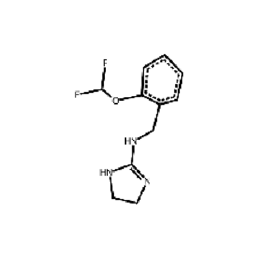 FC(F)Oc1ccccc1CNC1=NCCN1